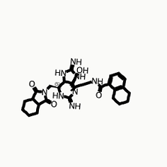 N=C1NC2[C@H](CN3C(=O)C4CCCCC4C3=O)NC(=N)N3CC(NC(=O)c4cccc5c4CCCC5)C(O)C23N1